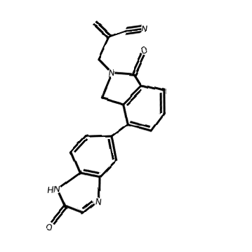 C=C(C#N)CN1Cc2c(cccc2-c2ccc3[nH]c(=O)cnc3c2)C1=O